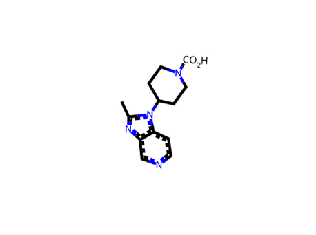 Cc1nc2cnccc2n1C1CCN(C(=O)O)CC1